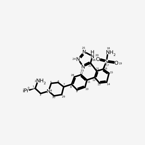 CC(C)[C@@H](N)CN1CCC(c2ccc(-c3cccc(S(N)(=O)=O)c3-c3nnn[nH]3)cc2)CC1